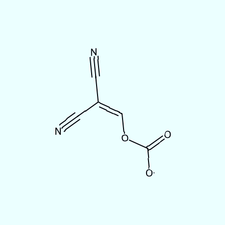 N#CC(C#N)=COC([O])=O